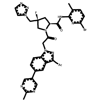 CC(=O)c1nn(CC(=O)N2C[C@](F)(Cn3ccnn3)C[C@H]2C(=O)Nc2nc(Br)ccc2C)c2ccc(-c3cnc(C)nc3)cc12